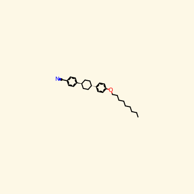 CCCCCCCCCOc1ccc([C@H]2CC[C@H](c3ccc(C#N)cc3)CC2)cc1